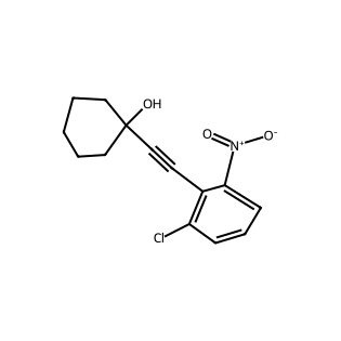 O=[N+]([O-])c1cccc(Cl)c1C#CC1(O)CCCCC1